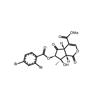 COC(=O)C1=COC(=O)[C@H]2[C@@H]1C(=O)[C@H](OC(=O)c1ccc(Br)cc1Br)[C@]2(C)O